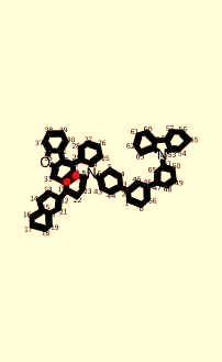 c1cc(-c2ccc(N(c3ccc(-c4ccc5ccccc5c4)cc3)c3ccccc3-c3cccc4oc5ccccc5c34)cc2)cc(-c2cccc(-n3c4ccccc4c4ccccc43)c2)c1